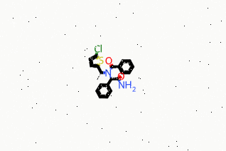 C[C@H](c1ccc(Cl)s1)N(C(=O)c1ccccc1)[C@@H](C(N)=O)c1ccccc1